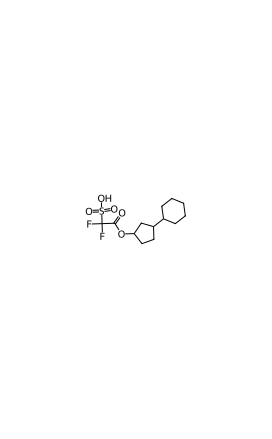 O=C(OC1CCC(C2CCCCC2)C1)C(F)(F)S(=O)(=O)O